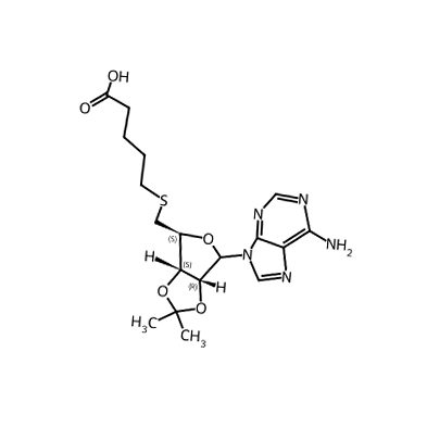 CC1(C)O[C@@H]2[C@@H](CSCCCCC(=O)O)OC(n3cnc4c(N)ncnc43)[C@@H]2O1